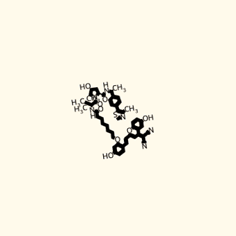 Cc1ncsc1-c1ccc([C@H](C)NC(=O)[C@@H]2C[C@@H](O)CN2C(=O)[C@@H](NC(=O)CCCCCCCOc2cc(O)ccc2/C=C/C2=CC(=C(C#N)C#N)c3cc(O)ccc3O2)C(C)(C)C)cc1